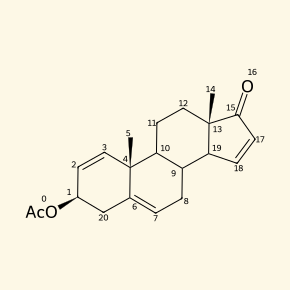 CC(=O)O[C@H]1C=C[C@@]2(C)C(=CCC3C2CC[C@]2(C)C(=O)C=CC32)C1